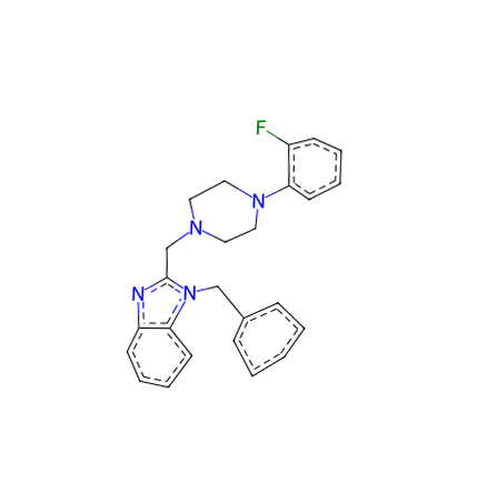 Fc1ccccc1N1CCN(Cc2nc3ccccc3n2Cc2ccccc2)CC1